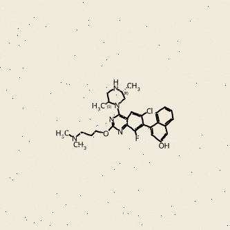 C[C@@H]1CN(c2nc(OCCCN(C)C)nc3c(F)c(-c4cc(O)cc5ccccc45)c(Cl)cc23)[C@@H](C)CN1